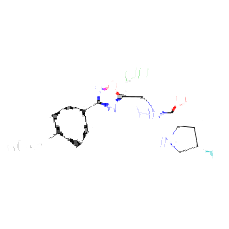 CCCCCCCCCCc1ccc(-c2noc(CNC(=O)[C@@H]3C[C@@H](F)CN3)n2)cc1.Cl